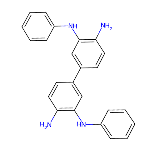 Nc1ccc(-c2ccc(N)c(Nc3ccccc3)c2)cc1Nc1ccccc1